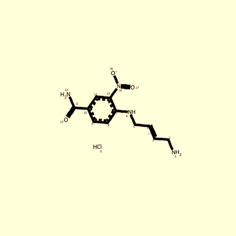 Cl.NC/C=C/CNc1ccc(C(N)=O)cc1[N+](=O)[O-]